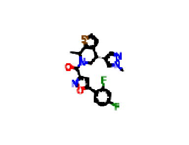 C[C@H]1c2sccc2[C@H](c2cnn(C)c2)CN1C(=O)c1cc(-c2ccc(F)cc2F)on1